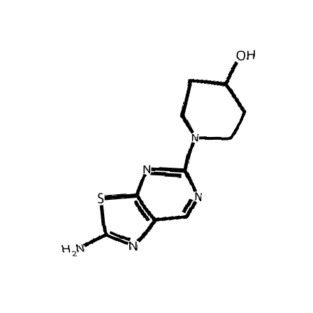 Nc1nc2cnc(N3CCC(O)CC3)nc2s1